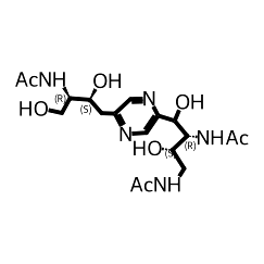 CC(=O)NC[C@H](O)[C@@H](NC(C)=O)C(O)c1cnc(C[C@H](O)[C@@H](CO)NC(C)=O)cn1